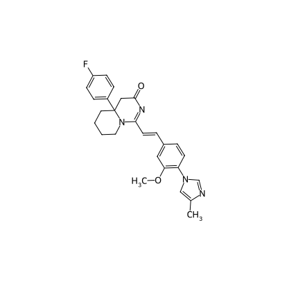 COc1cc(/C=C/C2=NC(=O)CC3(c4ccc(F)cc4)CCCCN23)ccc1-n1cnc(C)c1